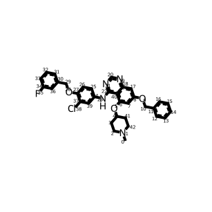 CN1CCC(Oc2cc(OCc3ccccc3)cc3ncnc(Nc4ccc(OCc5cccc(F)c5)c(Cl)c4)c23)CC1